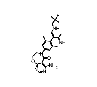 CC(=N)/C(=C\NCC(C)(C)F)c1c(C)cc(N2CCOc3ncnc(N)c3C2=O)cc1C